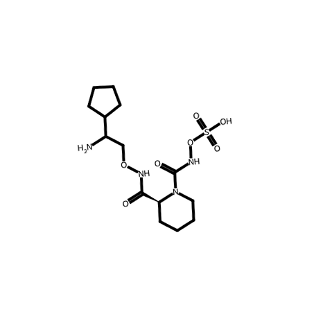 NC(CONC(=O)[C@@H]1CCCCN1C(=O)NOS(=O)(=O)O)C1CCCC1